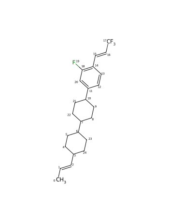 C/C=C/C1CCC(C2CCC(c3ccc(/C=C/C(F)(F)F)c(F)c3)CC2)CC1